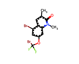 Cc1cc2c(Br)cc(OC(F)(F)Br)cc2n(C)c1=O